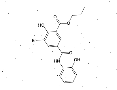 CCCOC(=O)c1cc(C(=O)Nc2ccccc2O)cc(Br)c1O